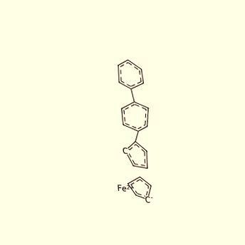 [Fe+2].c1cc[cH-]c1.c1ccc(-c2ccc(-c3ccc[cH-]3)cc2)cc1